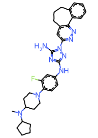 CN(C1CCCC1)C1CCN(c2ccc(Nc3nc(N)n(-c4cc5c(nn4)-c4ccccc4CCC5)n3)cc2F)CC1